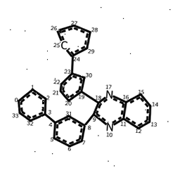 c1ccc(-c2cccc(-c3nc4ccccc4nc3-c3cccc(-c4ccccc4)c3)c2)cc1